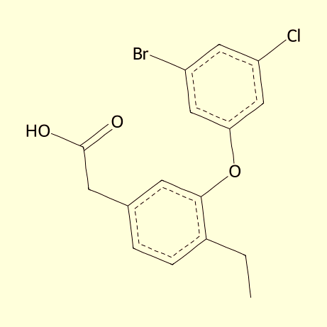 CCc1ccc(CC(=O)O)cc1Oc1cc(Cl)cc(Br)c1